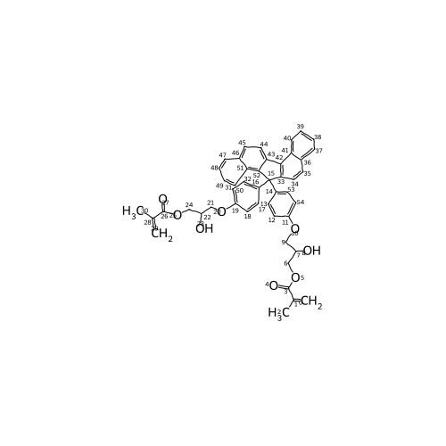 C=C(C)C(=O)OCC(O)COc1ccc(C2(c3ccc(OCC(O)COC(=O)C(=C)C)cc3)c3ccc4ccccc4c3-c3ccc4ccccc4c32)cc1